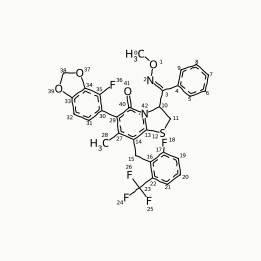 CON=C(c1ccccc1)C1CSc2c(Cc3c(F)cccc3C(F)(F)F)c(C)c(-c3ccc4c(c3F)OCO4)c(=O)n21